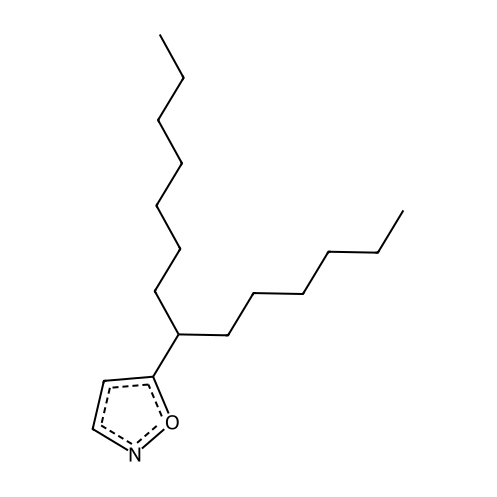 CCCCCCCC(CCCCCC)c1ccno1